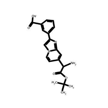 CC(C)(C)OC(=O)C(N)c1ccn2cc(-c3cccc(C(=O)O)c3)nc2c1